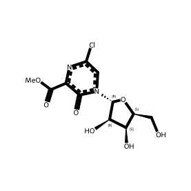 COC(=O)c1nc(Cl)cn([C@@H]2O[C@@H](CO)[C@@H](O)[C@H]2O)c1=O